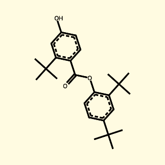 CC(C)(C)c1ccc(OC(=O)c2ccc(O)cc2C(C)(C)C)c(C(C)(C)C)c1